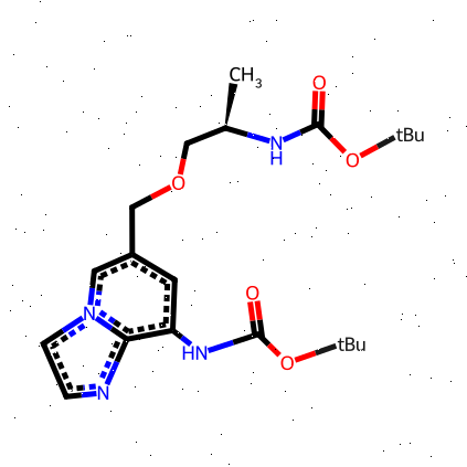 C[C@H](COCc1cc(NC(=O)OC(C)(C)C)c2nccn2c1)NC(=O)OC(C)(C)C